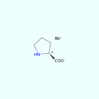 O=C([O-])[C@@H]1CCCN1.[Rb+]